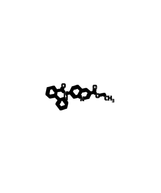 CCOC(=O)c1cnc2cc(NC(=O)c3ccccc3-c3ccccc3)ccc2c1